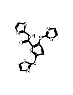 O=C(Nc1nccs1)c1nc(Sc2nccs2)ccc1Sc1nccs1